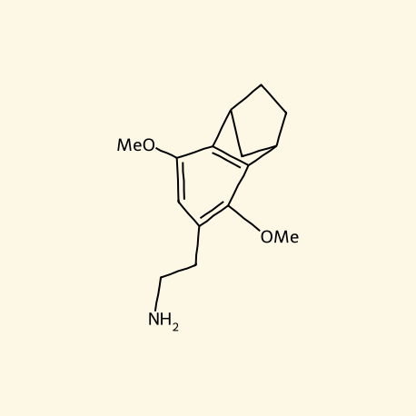 COc1cc(CCN)c(OC)c2c1C1CCC2C1